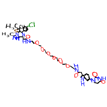 Cc1sc2c(c1C)C(c1ccc(Cl)cc1)=N[C@@H](CC(=O)NCCOCCOCCOCCOCCOCCOCCNC(=O)Cc1c[nH]c3cc(N4CCC(=O)NC4=O)ccc13)c1nnc(C)n1-2